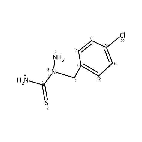 NC(=S)N(N)Cc1ccc(Cl)cc1